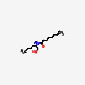 CCCCCCCC(=O)NC(CO)CCCC